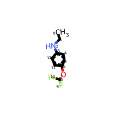 CCNc1ccc(OC(F)F)cc1